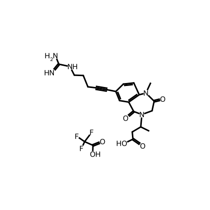 CC(CC(=O)O)N1CC(=O)N(C)c2ccc(C#CCCCNC(=N)N)cc2C1=O.O=C(O)C(F)(F)F